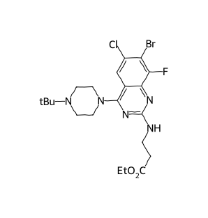 CCOC(=O)CCNc1nc(N2CCN(C(C)(C)C)CC2)c2cc(Cl)c(Br)c(F)c2n1